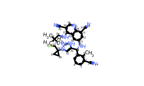 Cc1c(C#N)cccc1[C@H](Nc1cc(C#N)c2ncc(C#N)c(NCC(C)(C)C)c2c1)C1=CN(C2(CF)CC2)NN1